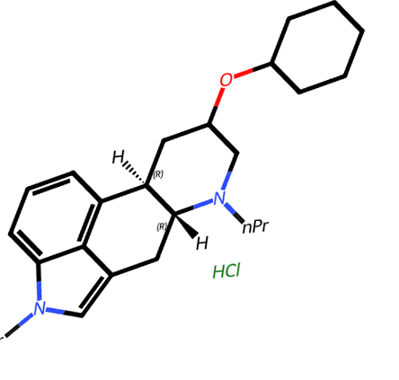 CCCN1CC(OC2CCCCC2)C[C@@H]2c3cccc4c3c(cn4C(C)C)C[C@H]21.Cl